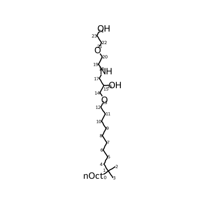 CCCCCCCCC(C)(C)CCCCCCCCCOCC(O)CNCCOCCO